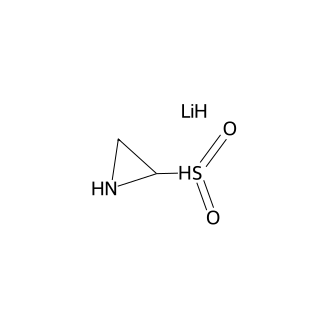 O=[SH](=O)C1CN1.[LiH]